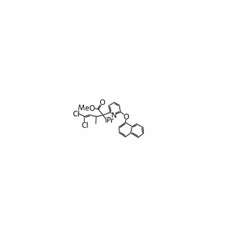 COC(=O)C(c1cccc(Oc2cccc3ccccc23)n1)(C(C)C)C(C)C=C(Cl)Cl